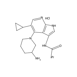 CC(C)C(=O)Nc1c[nH]c2ncc(C3CC3)c(N3CCCC(N)C3)c12.Cl